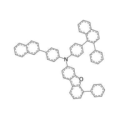 c1ccc(-c2ccc3ccccc3c2-c2ccc(N(c3ccc(-c4ccc5ccccc5c4)cc3)c3ccc4c(c3)oc3c(-c5ccccc5)cccc34)cc2)cc1